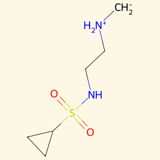 [CH2-][NH2+]CCNS(=O)(=O)C1CC1